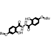 CCCCOc1ccc(C(=O)NNC(=O)c2ccc(OCCCC)cc2O)c(O)c1